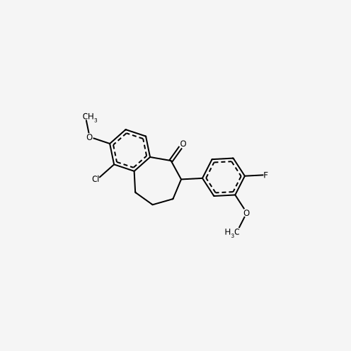 COc1cc(C2CCCc3c(ccc(OC)c3Cl)C2=O)ccc1F